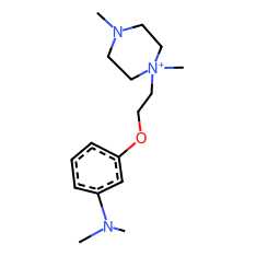 CN1CC[N+](C)(CCOc2cccc(N(C)C)c2)CC1